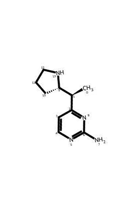 C[C@@H](c1ccnc(N)n1)[C@@H]1CCCN1